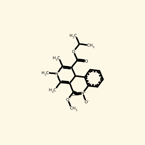 COC(=O)C1=C(C)N(C)C(C)=C(C(=O)OC(C)C)C1c1ccccc1[N+](=O)[O-]